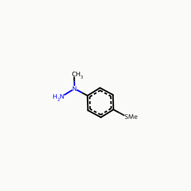 CSc1ccc(N(C)N)cc1